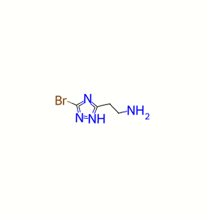 NCCc1nc(Br)n[nH]1